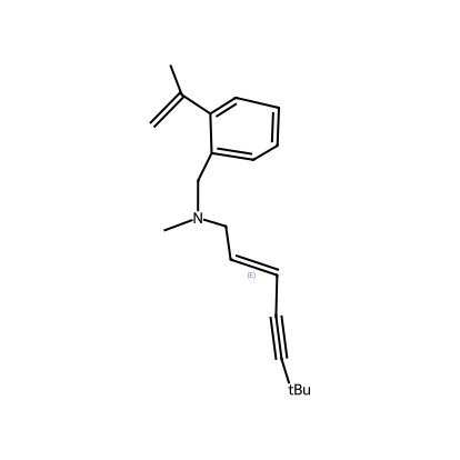 C=C(C)c1ccccc1CN(C)C/C=C/C#CC(C)(C)C